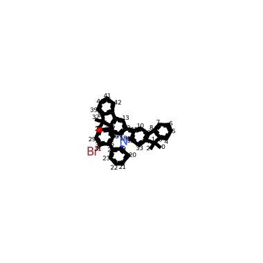 CC1(C)c2ccccc2-c2cc3c4cc5c(cc4n(-c4ccccc4-c4ccccc4Br)c3cc21)C(C)(C)c1ccccc1-5